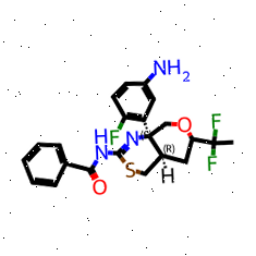 CC(F)(F)C1C[C@H]2CSC(NC(=O)c3ccccc3)=N[C@@]2(c2cc(N)ccc2F)CO1